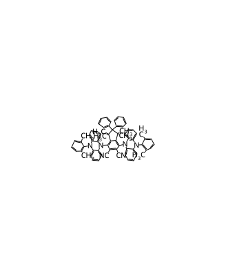 Cc1cccc(C)c1N1c2ccccc2N(c2c(C#N)c(C#N)c(N3c4ccccc4N(c4c(C)cccc4C)c4ccccc43)c3c2C(C)(C)C(c2ccccc2)(c2ccccc2)C3(C)C)c2ccccc21